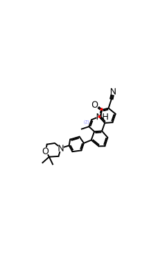 C/C(=C/NC=O)c1c(-c2ccc(C#N)cc2)cccc1-c1ccc(N2CCOC(C)(C)C2)cc1